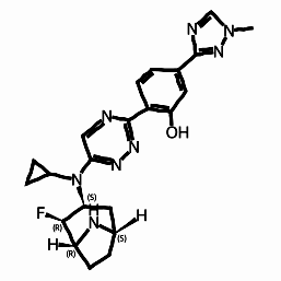 Cn1cnc(-c2ccc(-c3ncc(N(C4CC4)[C@H]4C[C@@H]5CC[C@@H](N5)[C@H]4F)nn3)c(O)c2)n1